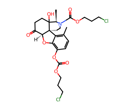 Cc1ccc(OC(=O)OCCCCl)c2c1[C@]13CCN(C(=O)OCCCCl)[C@H](C)C1(O)CCC(=O)[C@@H]3O2